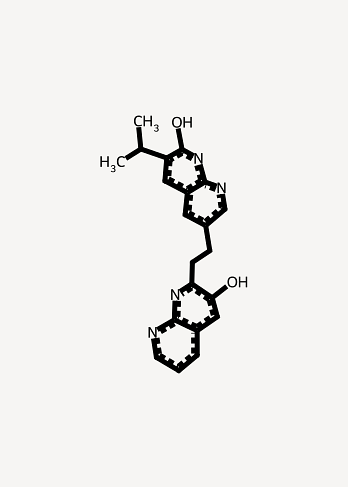 CC(C)c1cc2cc(CCc3nc4ncccc4cc3O)cnc2nc1O